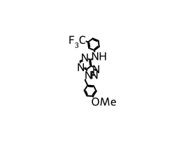 COc1ccc(Cn2nnc3c(Nc4cccc(C(F)(F)F)c4)ncnc32)cc1